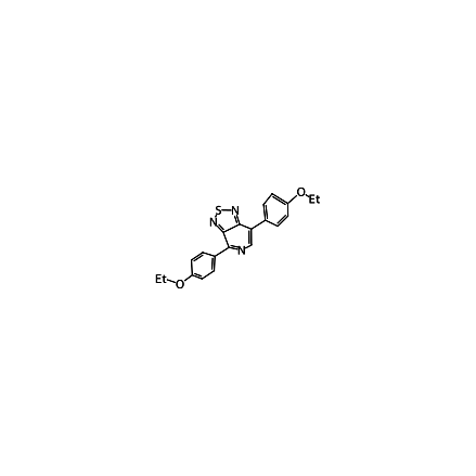 CCOc1ccc(-c2cnc(-c3ccc(OCC)cc3)c3nsnc23)cc1